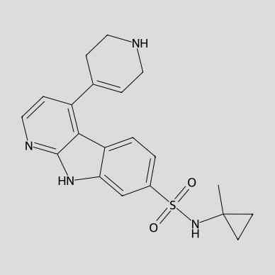 CC1(NS(=O)(=O)c2ccc3c(c2)[nH]c2nccc(C4=CCNCC4)c23)CC1